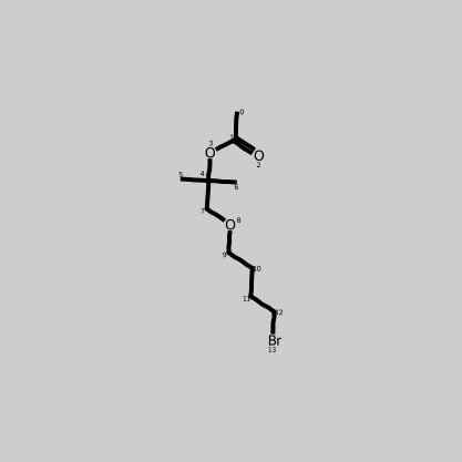 CC(=O)OC(C)(C)COCCCCBr